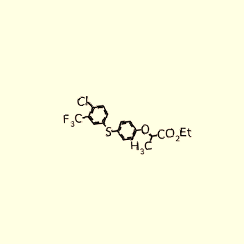 CCOC(=O)C(C)Oc1ccc(Sc2ccc(Cl)c(C(F)(F)F)c2)cc1